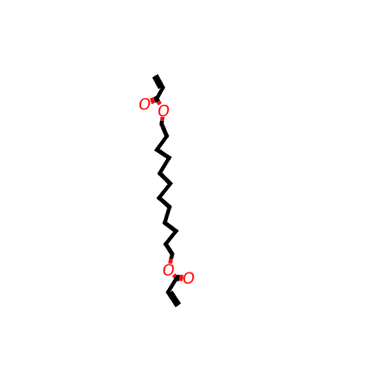 C=CC(=O)OCCCCCCCCCCCCOC(=O)C=C